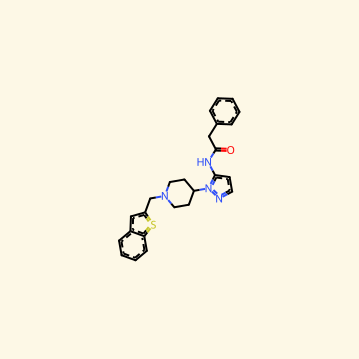 O=C(Cc1ccccc1)Nc1ccnn1C1CCN(Cc2cc3ccccc3s2)CC1